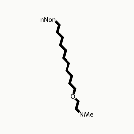 CCCCCCCCCCCCCCCCCCCCOCCNC